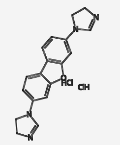 C1=NCCN1c1ccc2c(c1)oc1cc(N3C=NCC3)ccc12.Cl.Cl